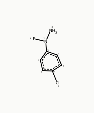 NN(F)c1ccc(Cl)cc1